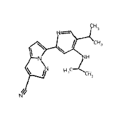 CC(C)Nc1cc(-c2ccc3cc(C#N)cnn23)ncc1C(C)C